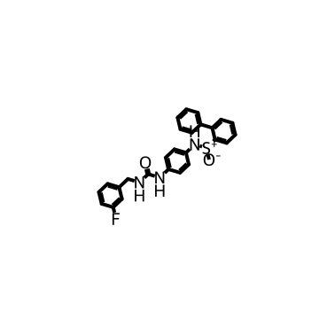 O=C(NCc1cccc(F)c1)Nc1ccc(N[S+]([O-])c2ccccc2-c2ccccc2)cc1